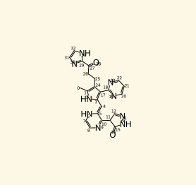 Cc1[nH]c(C=C2NC=CN=C2C2C=NNC2=O)c(-c2ncccn2)c1CCC(=O)c1ncc[nH]1